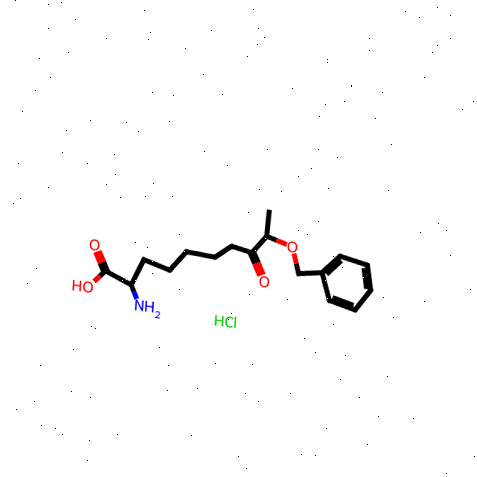 CC(OCc1ccccc1)C(=O)CCCCCC(N)C(=O)O.Cl